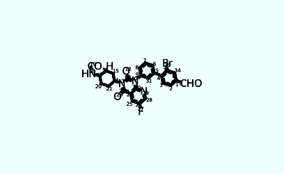 O=Cc1ccc(-c2cccc(-n3c(=O)n(C4CCC(NC(=O)O)CC4)c(=O)c4cc(F)cnc43)c2)c(Br)c1